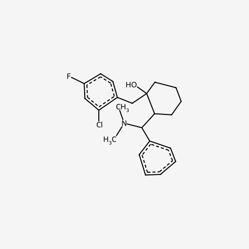 CN(C)C(c1ccccc1)C1CCCCC1(O)Cc1ccc(F)cc1Cl